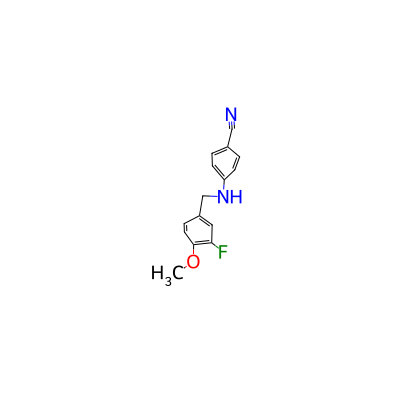 COc1ccc(CNc2ccc(C#N)cc2)cc1F